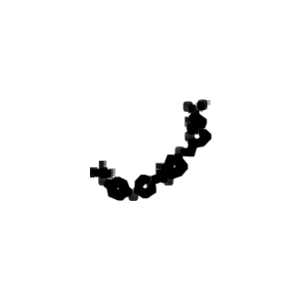 O=[N+]([O-])c1cn2c(n1)OC(COc1ccc3oc(N4CCC(Oc5ccc(OC(F)(F)F)cc5)CC4)nc3c1)CC2